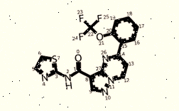 O=C(Nc1nccs1)c1cnn2ccc(-c3ccccc3OC(F)(F)F)nc12